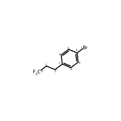 FC(F)(F)C[CH]c1ccc(Br)cc1